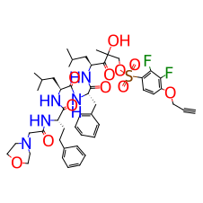 C#CCOc1ccc(S(=O)(=O)OCC(C)(O)C(=O)[C@H](CC(C)C)NC(=O)[C@H](Cc2ccccc2)NC(=O)[C@H](CC(C)C)NC(=O)[C@H](CCc2ccccc2)NC(=O)CN2CCOCC2)c(F)c1F